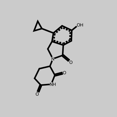 O=C1CCC(N2Cc3c(cc(O)cc3C3CC3)C2=O)C(=O)N1